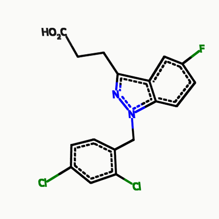 O=C(O)CCc1nn(Cc2ccc(Cl)cc2Cl)c2ccc(F)cc12